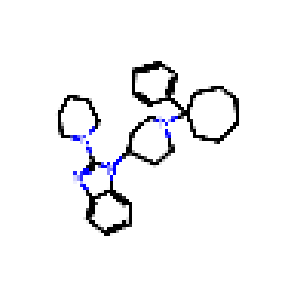 c1ccc(C2(N3CCC(n4c(N5CCCCC5)nc5ccccc54)CC3)CCCCCC2)cc1